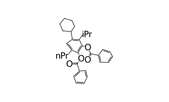 CCCc1cc(C2CCCCC2)c(C(C)C)c(OC(=O)c2ccccc2)c1OC(=O)c1ccccc1